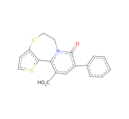 O=C(O)c1cc(-c2ccccc2)c(=O)n2c1-c1sccc1SCC2